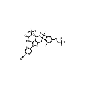 CS(=O)(=O)CC(=O)Nc1c2c(nn1-c1ccc(C#N)cn1)C[C@]1(NC2=O)c2c(F)cc(OCC(F)(F)F)cc2C1(F)F